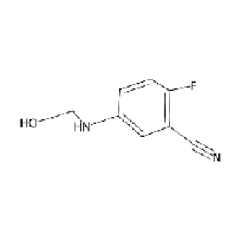 N#Cc1cc(NCO)ccc1F